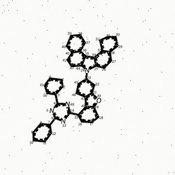 c1ccc(-c2nc(-c3ccccc3)nc(-c3cccc4oc5cc(-n6c7ccc8ccccc8c7c7c8ccccc8ccc76)ccc5c34)n2)cc1